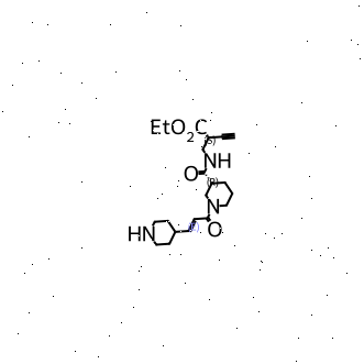 C#C[C@@H](CNC(=O)[C@@H]1CCCN(C(=O)/C=C/C2CCNCC2)C1)C(=O)OCC